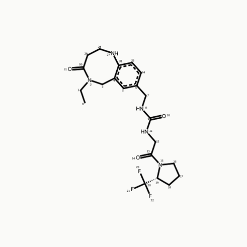 CCN1Cc2cc(CNC(=O)NCC(=O)N3CCC[C@@H]3C(F)(F)F)ccc2NCCC1=O